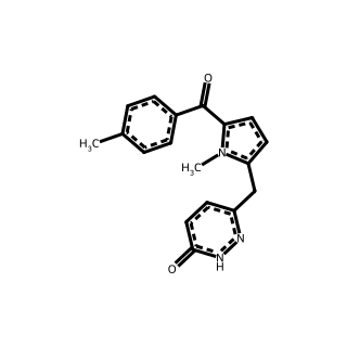 Cc1ccc(C(=O)c2ccc(Cc3ccc(=O)[nH]n3)n2C)cc1